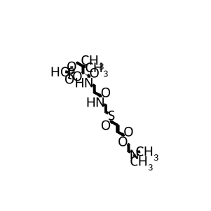 CN(C)CCOC(=O)/C=C/C(=O)SCCNC(=O)CCNC(=O)[C@@H]1OP(=O)(O)OCC1(C)C